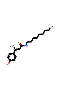 CCCCCCCCCNC(=O)/C=C(\C)c1ccc(O)cc1